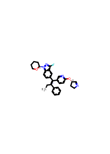 Fc1nn([C@@H]2CCCCO2)c2ccc(/C(=C(\CC(F)(F)F)c3ccccc3)c3ccc(O[C@@H]4C=NCC4)nc3)cc12